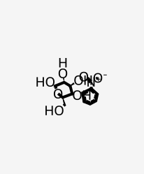 O=[N+]([O-])c1ccccc1.OC[C@H]1O[C@@H](O)[C@H](O)[C@@H](O)[C@H]1O